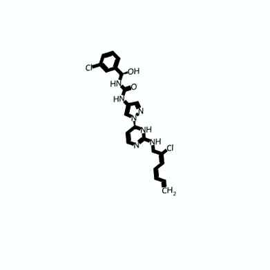 C=C/C=C\C=C(\Cl)CNC1=NC=C[C@@H](n2cc(NC(=O)N[C@H](O)c3cccc(Cl)c3)cn2)N1